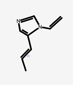 C=Cn1cncc1/C=C/C